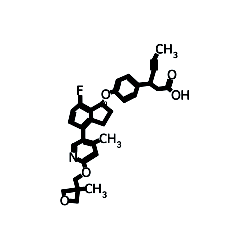 CC#CC(CC(=O)O)c1ccc(O[C@@H]2CCc3c(-c4cnc(OCC5(C)COC5)cc4C)ccc(F)c32)cc1